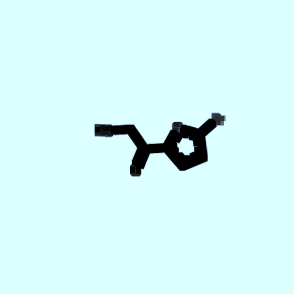 O=C(CO)c1ccc(Br)o1